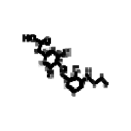 CCCNc1cccc(COc2c(Cl)cc(CC(=O)O)cc2Cl)c1F